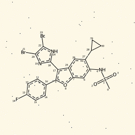 CS(=O)(=O)Nc1cc2oc(-c3ccc(F)cc3)c(-c3nc(Br)c(Br)[nH]3)c2cc1C1CC1